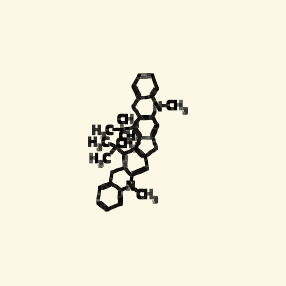 CN1c2ccccc2Cc2c1cc1c(c2C(C)(C)C)-c2c(cc3c(c2C(C)(C)C)Cc2ccccc2N3C)C1